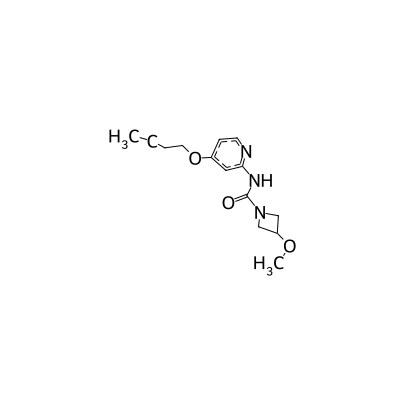 CCCCOc1ccnc(NC(=O)N2CC(OC)C2)c1